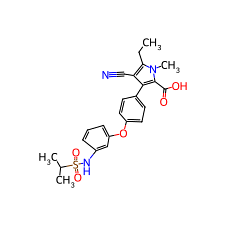 CCc1c(C#N)c(-c2ccc(Oc3cccc(NS(=O)(=O)C(C)C)c3)cc2)c(C(=O)O)n1C